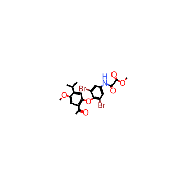 COC(=O)C(=O)Nc1cc(Br)c(Oc2cc(C(C)C)c(OC)cc2C(C)=O)c(Br)c1